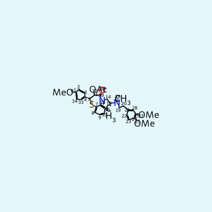 COc1ccc([C@@H]2Sc3ccccc3N(CC(C)N(C)CCc3ccc(OC)c(OC)c3)C(=O)C2OC(C)=O)cc1